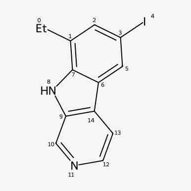 CCc1cc(I)cc2c1[nH]c1cnccc12